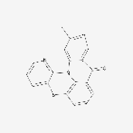 Cc1ccc2c(=O)c3cccc4c3n(c2c1)-c1ncccc1S4